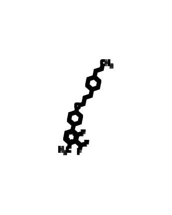 CCCC1CCC(CCCOC2CCC(c3ccc(C)c(C(F)F)c3F)CC2)CC1